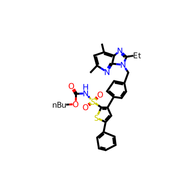 CCCCOC(=O)NS(=O)(=O)c1sc(-c2ccccc2)cc1-c1ccc(Cn2c(CC)nc3c(C)cc(C)nc32)cc1